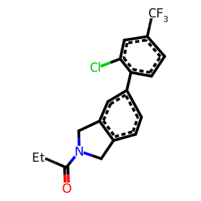 CCC(=O)N1Cc2ccc(-c3ccc(C(F)(F)F)cc3Cl)cc2C1